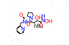 CCCC[C@@H](C(=O)N1CCC[C@H]1C(=O)NCc1ccccn1)[C@H](O)C(=O)NO